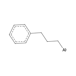 [Al][CH2]CCc1ccccc1